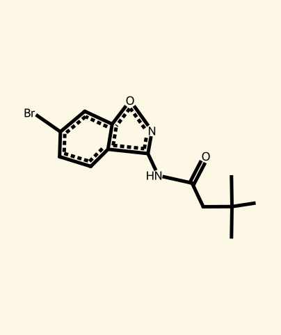 CC(C)(C)CC(=O)Nc1noc2cc(Br)ccc12